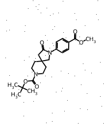 COC(=O)c1ccc(N2CC3(CCN(C(=O)OC(C)(C)C)CC3)CC2=O)cc1